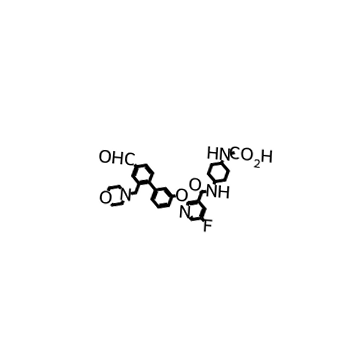 O=Cc1ccc(-c2cccc(Oc3ncc(F)cc3C(=O)NC3CCC(NC(=O)O)CC3)c2)c(CN2CCOCC2)c1